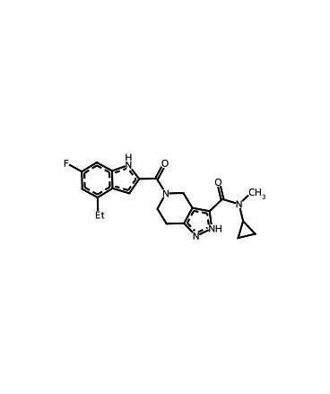 CCc1cc(F)cc2[nH]c(C(=O)N3CCc4n[nH]c(C(=O)N(C)C5CC5)c4C3)cc12